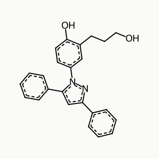 OCCCc1cc(-n2nc(-c3ccccc3)cc2-c2ccccc2)ccc1O